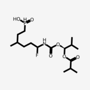 CC(CCC(F)NC(=O)O[C@H](OC(=O)C(C)C)C(C)C)CC[PH](=O)O